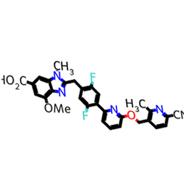 COc1cc(C(=O)O)cc2c1nc(Cc1cc(F)c(-c3cccc(OCc4ccc(C#N)nc4C)n3)cc1F)n2C